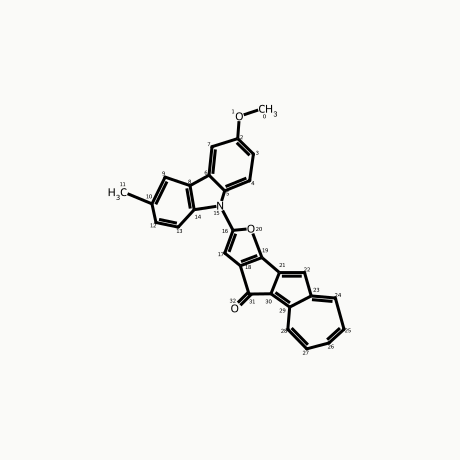 COc1ccc2c(c1)c1cc(C)ccc1n2-c1cc2c(o1)-c1cc3cccccc-3c1C2=O